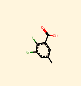 Cc1cc(Br)c(F)c(C(=O)O)c1